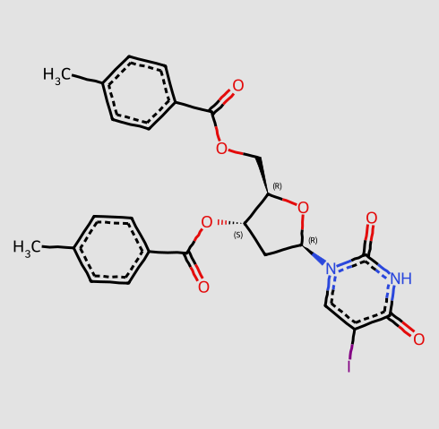 Cc1ccc(C(=O)OC[C@H]2O[C@@H](n3cc(I)c(=O)[nH]c3=O)C[C@@H]2OC(=O)c2ccc(C)cc2)cc1